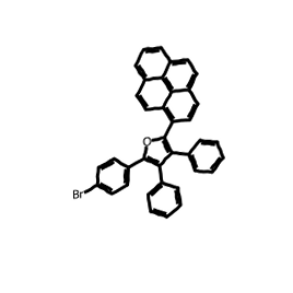 Brc1ccc(-c2oc(-c3ccc4ccc5cccc6ccc3c4c56)c(-c3ccccc3)c2-c2ccccc2)cc1